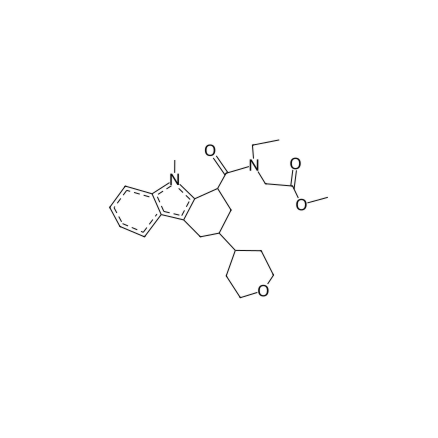 CCN(CC(=O)OC)C(=O)C1CC(C2CCOCC2)Cc2c1n(C)c1ccccc21